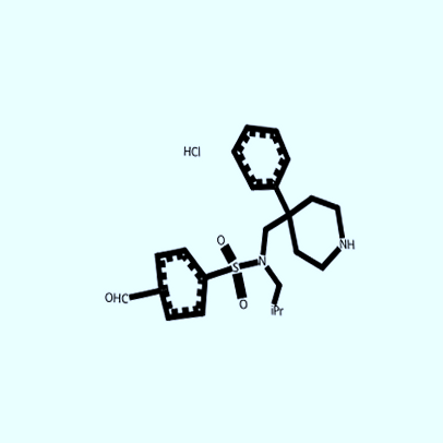 CC(C)CN(CC1(c2ccccc2)CCNCC1)S(=O)(=O)c1ccc(C=O)cc1.Cl